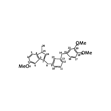 COc1ccc2c(c1)C(Cc1cccc(Cc3ccc(OC)c(OC)c3)c1)=CC2C